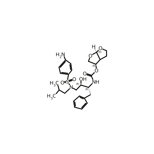 CC(C)CN(C[C@@H](O)[C@@H](Cc1ccccc1)NC(=O)O[C@H]1CO[C@H]2OCCC21)S(=O)(=O)c1ccc(N)cc1